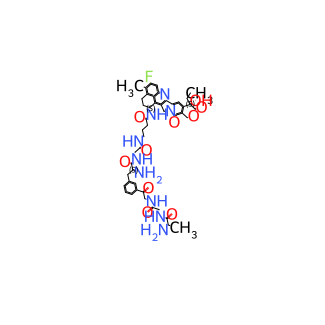 CC[C@@]1(O)C(=O)OCc2c1cc1n(c2=O)Cc2c-1nc1cc(F)c(C)c3c1c2[C@@H](NC(=O)CCCNC(=O)CNC(=O)[C@@H](N)Cc1cccc(C(=O)CNC(=O)CNC(=O)C(C)N)c1)CC3